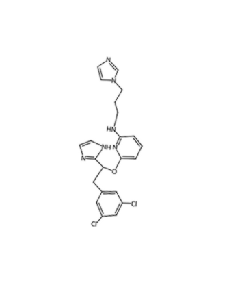 Clc1cc(Cl)cc(CC(Oc2cccc(NCCCn3ccnc3)n2)c2ncc[nH]2)c1